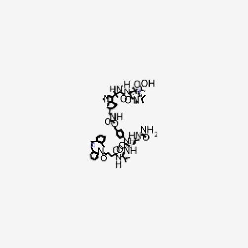 CNC(C(=O)N[C@H](C(=O)N(C)[C@H](/C=C(\C)C(=O)O)C(C)C)C(C)(C)C)C(C)(C)c1cn(C)c2cc(CNC(=O)OCc3ccc(NC(=O)[C@H](CCCNC(N)=O)NC(=O)[C@@H](NC(=O)CCC(=O)N4Cc5ccccc5/C(C)=C\c5ccccc54)C(C)C)cc3)ccc12